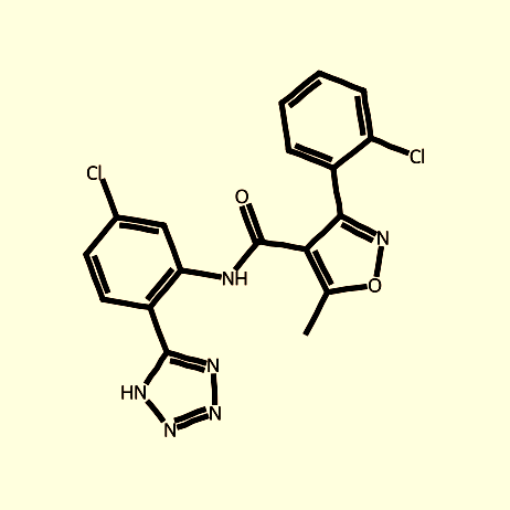 Cc1onc(-c2ccccc2Cl)c1C(=O)Nc1cc(Cl)ccc1-c1nnn[nH]1